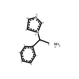 CC(c1ccccc1)n1ccnc1.N